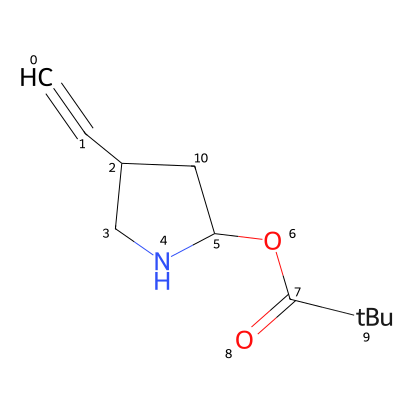 C#CC1CNC(OC(=O)C(C)(C)C)C1